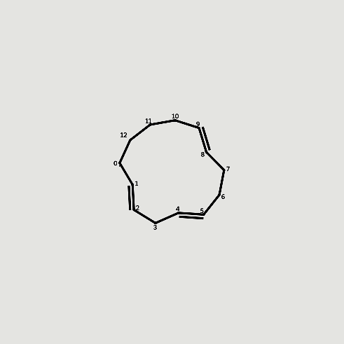 [CH]1/C=C/C/C=C/CC/C=C/CCC1